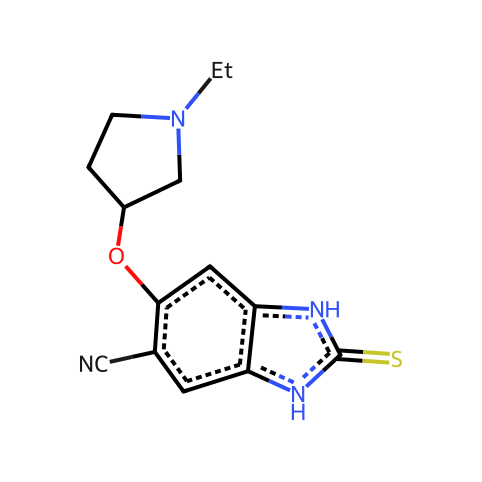 CCN1CCC(Oc2cc3[nH]c(=S)[nH]c3cc2C#N)C1